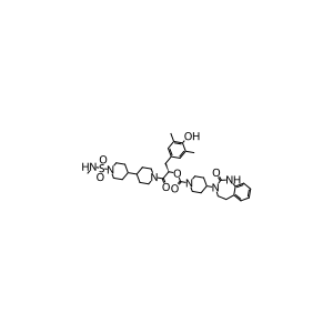 CNS(=O)(=O)N1CCC(C2CCN(C(=O)[C@@H](Cc3cc(C)c(O)c(C)c3)OC(=O)N3CCC(N4CCc5ccccc5NC4=O)CC3)CC2)CC1